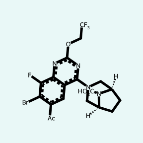 CC(=O)c1cc2c(N3C[C@H]4CC[C@@H](C3)N4C(=O)O)nc(OCC(F)(F)F)nc2c(F)c1Br